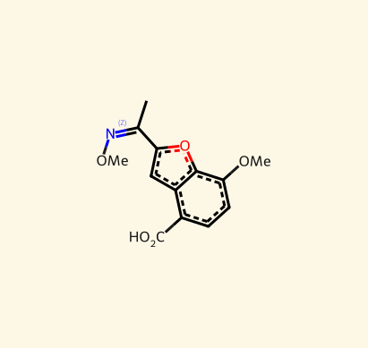 CO/N=C(/C)c1cc2c(C(=O)O)ccc(OC)c2o1